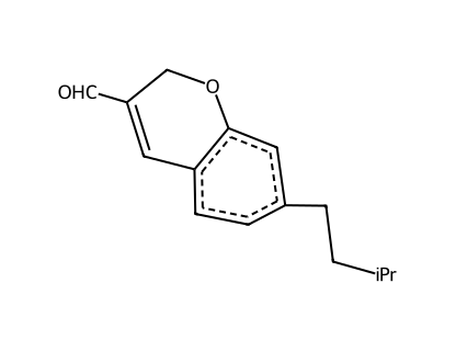 CC(C)CCc1ccc2c(c1)OCC(C=O)=C2